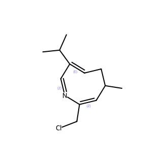 CC1\C=C(CCl)/N=C\C(C(C)C)=C\C1